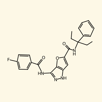 CCC(CC)(NC(=O)c1cc2[nH]nc(NC(=O)c3ccc(F)cc3)c2o1)c1ccccc1